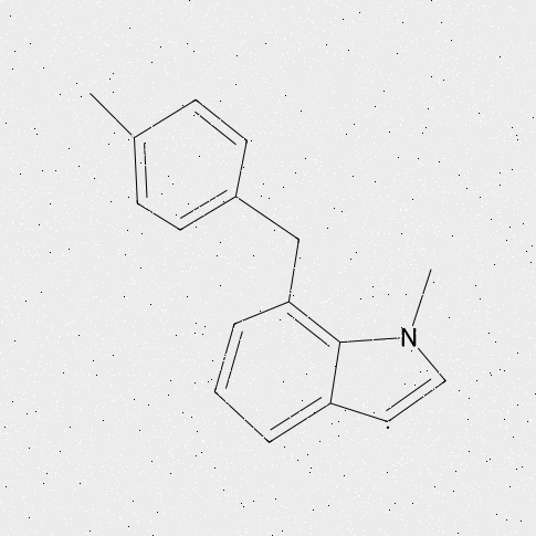 Cc1ccc(Cc2cccc3[c]cn(C)c23)cc1